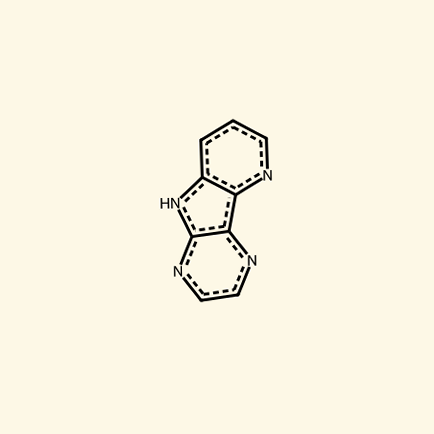 c1cnc2c(c1)[nH]c1nccnc12